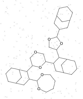 C1CCOC(C2CC3CCCC(C3)C2C2COCC(C3CC4CCCC(C4)C3C3COC(C4CC5CCCC(C5)C4)O3)O2)OC1